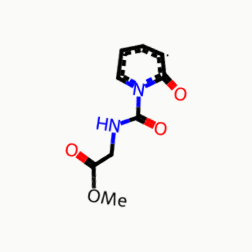 COC(=O)CNC(=O)n1ccc[c]c1=O